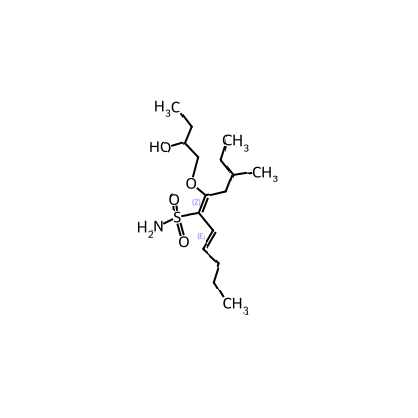 CCC/C=C/C(=C(\CC(C)CC)OCC(O)CC)S(N)(=O)=O